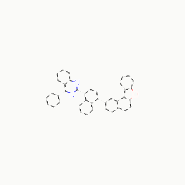 c1ccc(-c2nc(-c3ccc(-c4ccc5ccc6oc7ccccc7c6c5c4)c4ccccc34)nc3ccccc23)cc1